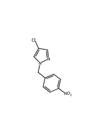 O=[N+]([O-])c1ccc(Cn2cc(Cl)cn2)cc1